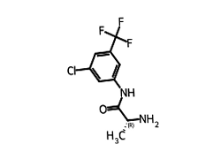 C[C@@H](N)C(=O)Nc1cc(Cl)cc(C(F)(F)F)c1